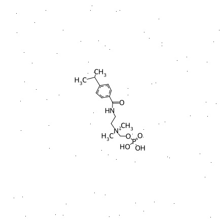 CC(C)c1ccc(C(=O)NCC[N+](C)(C)COP(=O)(O)O)cc1